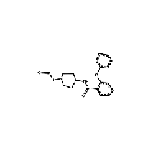 O=CON1CCC(NC(=O)c2ccccc2Oc2ccccc2)CC1